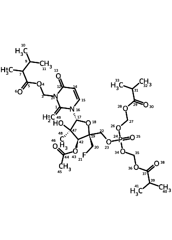 C=C1N(COC(=O)C(C)C(C)C)C(=O)C=CN1[C@@H]1O[C@](CF)(COP(=O)(OCOC(=O)C(C)C)OCOC(=O)C(C)C)[C@@H](OC(C)=O)[C@@]1(C)O